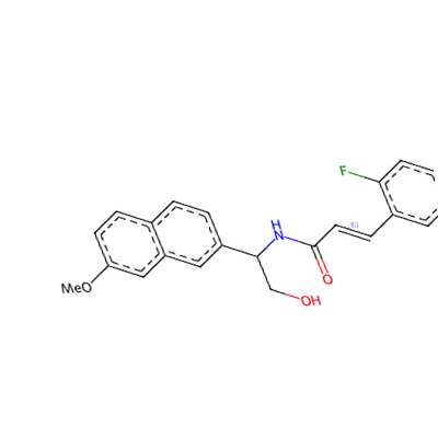 COc1ccc2ccc(C(CO)NC(=O)/C=C/c3ccccc3F)cc2c1